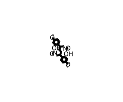 COc1ccc(C(CCC(CN=O)c2ccc(OC)cc2O)CN=O)c(O)c1